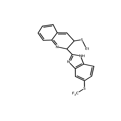 CCSC1C=c2ccccc2=NC1c1nc2cc(SC(F)(F)F)ccc2[nH]1